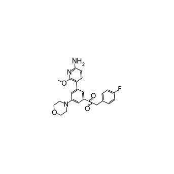 COc1nc(N)ccc1-c1cc(N2CCOCC2)cc(S(=O)(=O)Cc2ccc(F)cc2)c1